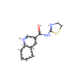 O=C(NC1=NCCS1)c1cnc2ccccc2c1